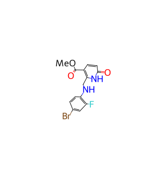 COC(=O)c1ccc(=O)[nH]c1CNc1ccc(Br)cc1F